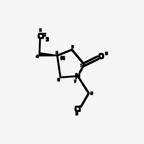 O=C1C[C@H](CC(F)(F)F)CN1CCl